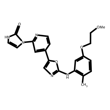 COCCOc1ccc(C)c(Nc2ncc(-c3ccnc(-n4cc[nH]c4=O)c3)o2)c1